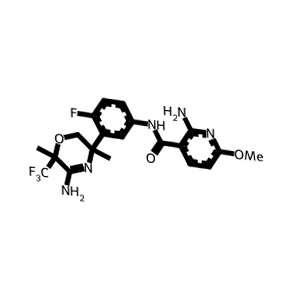 COc1ccc(C(=O)Nc2ccc(F)c(C3(C)COC(C)(C(F)(F)F)C(N)=N3)c2)c(N)n1